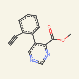 C#Cc1ccccc1-c1cncnc1C(=O)OC